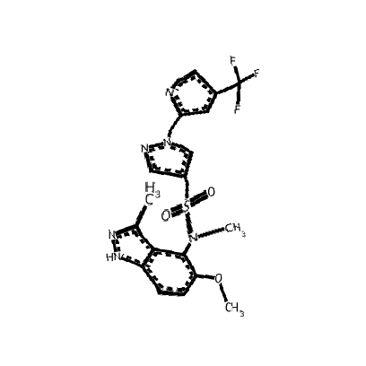 COc1ccc2[nH]nc(C)c2c1N(C)S(=O)(=O)c1cnn(-c2cc(C(F)(F)F)ccn2)c1